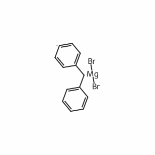 [Br][Mg][Br].[c]1ccc(Cc2ccccc2)cc1